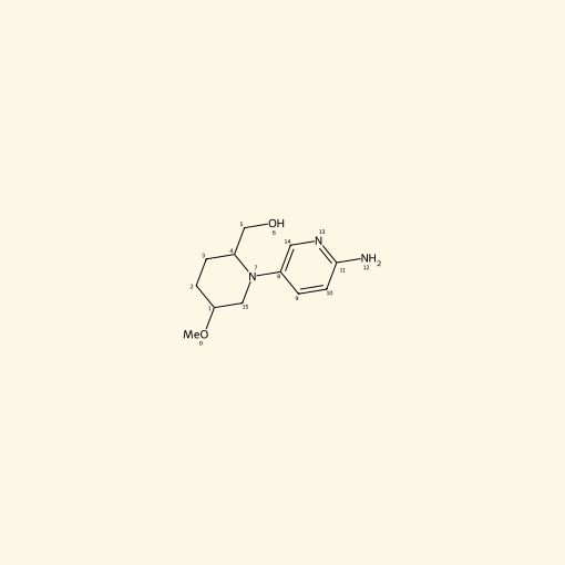 COC1CCC(CO)N(c2ccc(N)nc2)C1